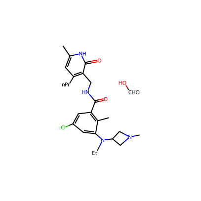 CCCc1cc(C)[nH]c(=O)c1CNC(=O)c1cc(Cl)cc(N(CC)C2CN(C)C2)c1C.O=CO